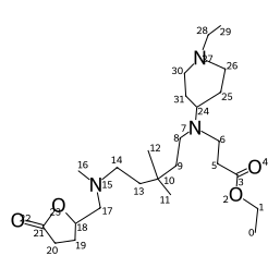 CCOC(=O)CCN(CCC(C)(C)CCN(C)CC1CCC(=O)O1)C1CCN(CC)CC1